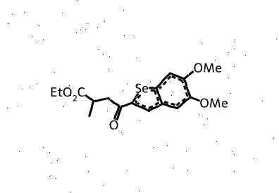 CCOC(=O)C(C)CC(=O)c1cc2cc(OC)c(OC)cc2[se]1